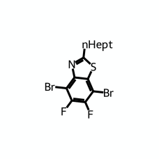 CCCCCCCc1nc2c(Br)c(F)c(F)c(Br)c2s1